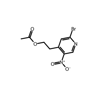 CC(=O)OCCc1cc(Br)ncc1[N+](=O)[O-]